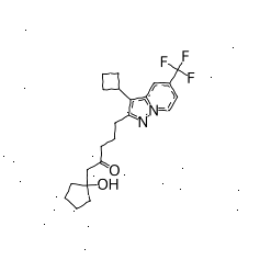 O=C(CCCc1nn2ccc(C(F)(F)F)cc2c1C1CCC1)CC1(O)CCCC1